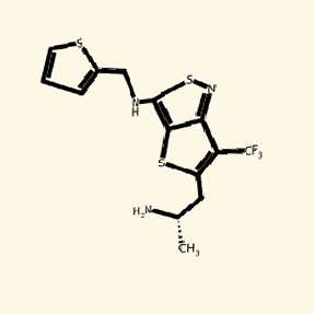 C[C@H](N)Cc1sc2c(NCc3cccs3)snc2c1C(F)(F)F